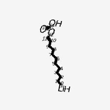 CCCCCCCCCCCCOC(=O)O.[LiH]